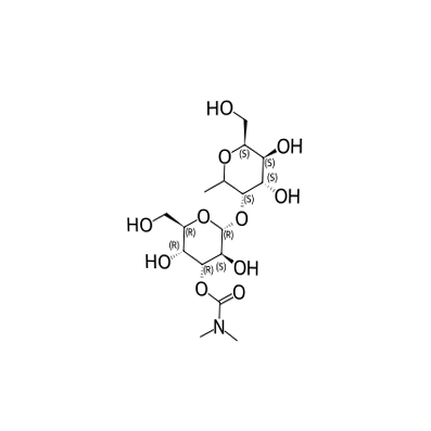 CC1O[C@@H](CO)[C@@H](O)[C@H](O)[C@@H]1O[C@H]1O[C@H](CO)[C@@H](O)[C@@H](OC(=O)N(C)C)[C@@H]1O